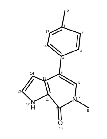 Cc1ccc(-c2cn(C)c(=O)c3[nH]ccc23)cc1